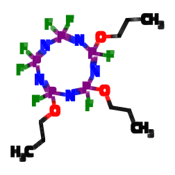 CCCOP1(F)=NP(F)(F)=NP(F)(F)=NP(F)(OCCC)=NP(F)(OCCC)=N1